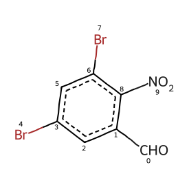 O=Cc1cc(Br)cc(Br)c1[N+](=O)[O-]